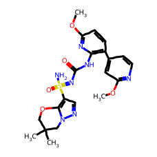 COc1cc(-c2ccc(OC)nc2NC(=O)N=S(N)(=O)c2cnn3c2OCC(C)(C)C3)ccn1